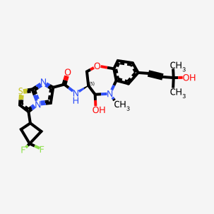 CN1c2cc(C#CC(C)(C)O)ccc2OC[C@H](NC(=O)c2cn3c(C4CC(F)(F)C4)csc3n2)C1O